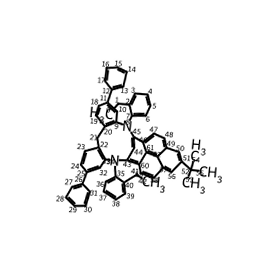 CCc1ccccc1N1c2cc(-c3ccccc3)ccc2Cc2ccc(-c3ccccc3)cc2N(c2ccccc2CC)c2cc1c1ccc3cc(C(C)(C)C)cc4ccc2c1c34